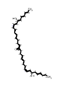 CCCCCC[C@@H](O)C/C=C\CCCCCCCC(=O)CCCCCCC/C=C\C[C@H](O)CCCCCC